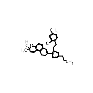 CCCc1ccc(C2=Cc3ccc4c(c3CC2)C=CC(C)(C)O4)c(CCc2ccc(C)cc2Cl)c1